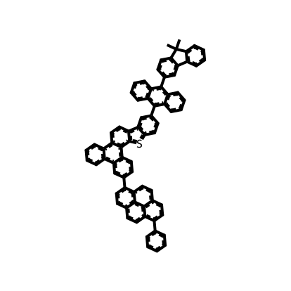 CC1(C)c2ccccc2-c2cc(-c3c4ccccc4c(-c4ccc5sc6c(ccc7c8ccccc8c8cc(-c9ccc%10ccc%11c(-c%12ccccc%12)ccc%12ccc9c%10c%12%11)ccc8c76)c5c4)c4ccccc34)ccc21